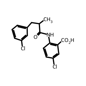 CC(Cc1cccc(Cl)c1)C(=O)Nc1ccc(Cl)cc1C(=O)O